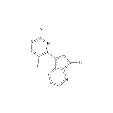 CCn1cc(-c2nc(Cl)ncc2F)c2cccnc21